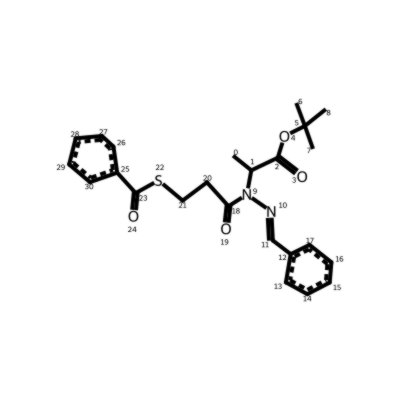 CC(C(=O)OC(C)(C)C)N(N=Cc1ccccc1)C(=O)CCSC(=O)c1ccccc1